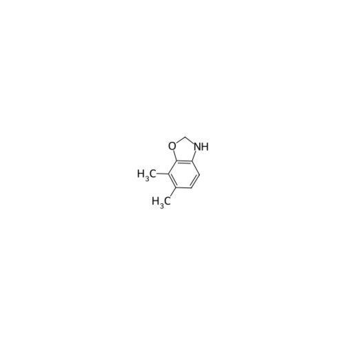 Cc1ccc2c(c1C)OCN2